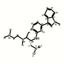 CC([C@@H](C[N+](=O)[O-])Nc1nccc(-c2cn(C)c3ccccc23)n1)N(C)CCN(C)C